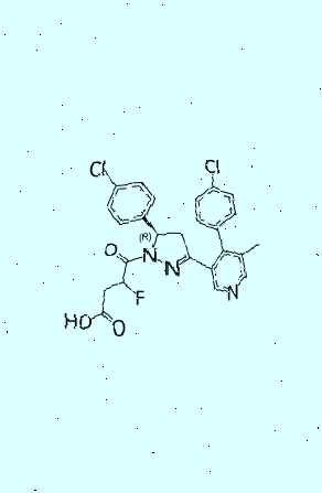 Cc1cncc(C2=NN(C(=O)C(F)CC(=O)O)[C@@H](c3ccc(Cl)cc3)C2)c1-c1ccc(Cl)cc1